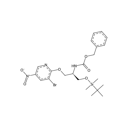 CC(C)(C)[Si](C)(C)OC[C@@H](COc1ncc([N+](=O)[O-])cc1Br)NC(=O)OCc1ccccc1